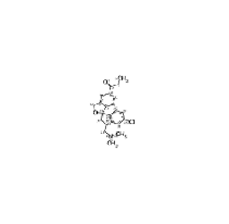 CCC(=O)c1ccc2c(c1)COC2(CCCN(C)C)c1ccc(Cl)cc1